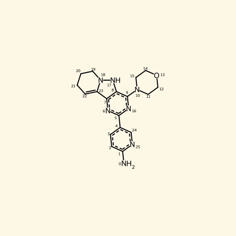 Nc1ccc(-c2nc3c(c(N4CCOCC4)n2)NN2CCCC=C32)cn1